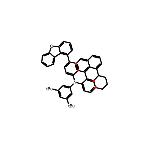 CC(C)(C)c1cc(N(c2ccc(-c3cccc4oc5ccccc5c34)cc2)c2ccccc2-c2cccc3cccc(C4CCCCC4)c23)cc(C(C)(C)C)c1